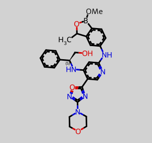 COB1OC(C)c2cc(Nc3cc(N[C@H](CO)c4ccccc4)c(-c4nc(N5CCOCC5)no4)cn3)ccc21